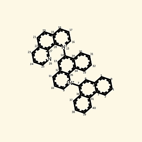 c1ccc2c(c1)cc(-[n+]1cccc3cc(-[n+]4cccc5ccc6cccnc6c54)c4ccccc4c31)c1ccccc12